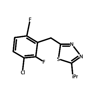 CC(C)c1nnc(Cc2c(F)ccc(Cl)c2F)s1